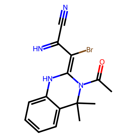 CC(=O)N1/C(=C(\Br)C(=N)C#N)Nc2ccccc2C1(C)C